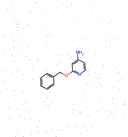 Nc1ccnc(OCc2ccccc2)c1